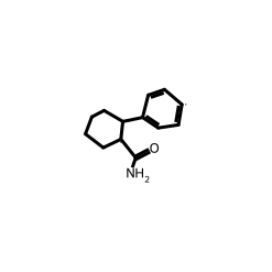 NC(=O)[C]1CCCCC1c1cc[c]cc1